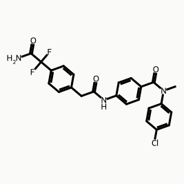 CN(C(=O)c1ccc(NC(=O)Cc2ccc(C(F)(F)C(N)=O)cc2)cc1)c1ccc(Cl)cc1